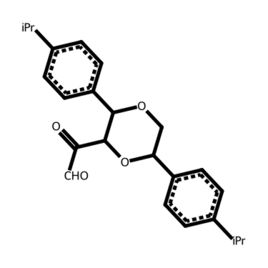 CC(C)c1ccc(C2COC(c3ccc(C(C)C)cc3)C(C(=O)C=O)O2)cc1